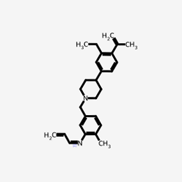 C=C/C=N\c1cc(CN2CCC(c3ccc(C(=C)C)c(CC)c3)CC2)ccc1C